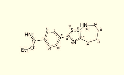 CCOC(=N)c1ccc(-c2nc3c(s2)NCCCC3)cc1